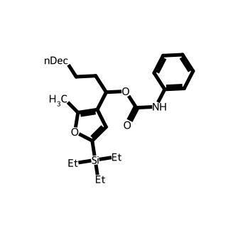 CCCCCCCCCCCCC(OC(=O)Nc1ccccc1)c1cc([Si](CC)(CC)CC)oc1C